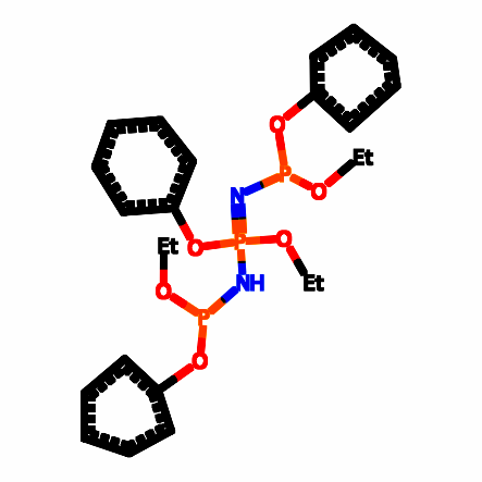 CCOP(N=P(NP(OCC)Oc1ccccc1)(OCC)Oc1ccccc1)Oc1ccccc1